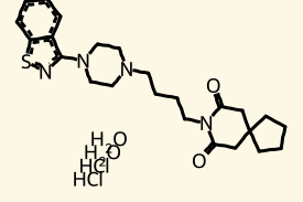 Cl.Cl.O.O.O=C1CC2(CCCC2)CC(=O)N1CCCCN1CCN(c2nsc3ccccc23)CC1